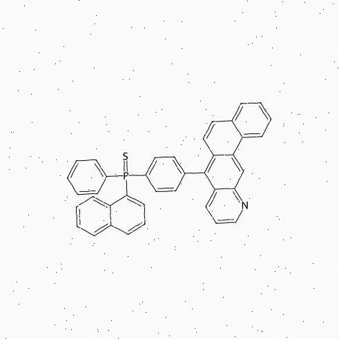 S=P(c1ccccc1)(c1ccc(-c2c3cccnc3cc3c2ccc2ccccc23)cc1)c1cccc2ccccc12